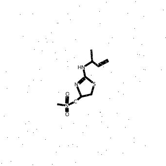 C=CC(C)NC1=NC(CS(C)(=O)=O)CS1